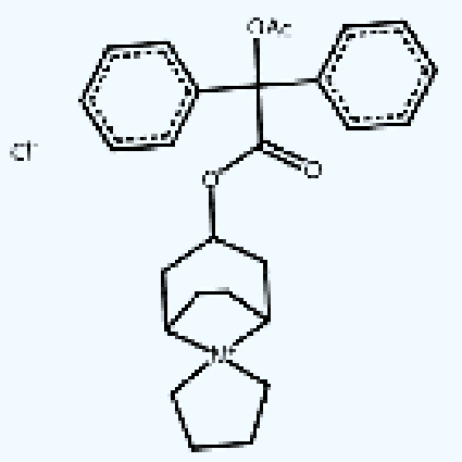 CC(=O)OC(C(=O)OC1CC2CCC(C1)[N+]21CCCC1)(c1ccccc1)c1ccccc1.[Cl-]